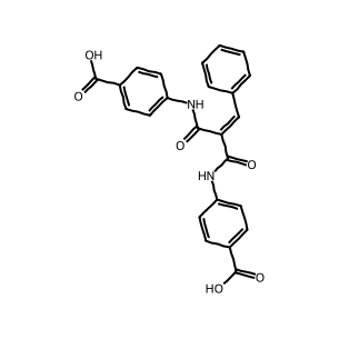 O=C(Nc1ccc(C(=O)O)cc1)C(=Cc1ccccc1)C(=O)Nc1ccc(C(=O)O)cc1